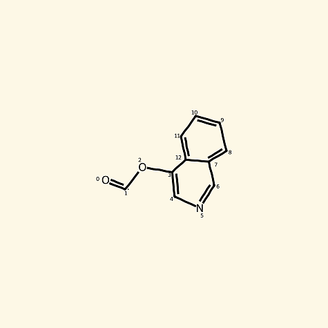 O=[C]Oc1cncc2ccccc12